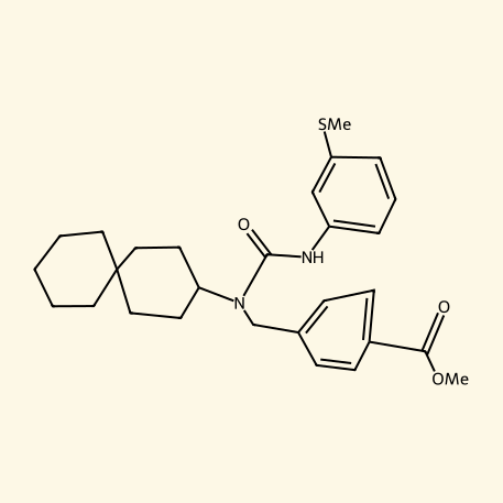 COC(=O)c1ccc(CN(C(=O)Nc2cccc(SC)c2)C2CCC3(CCCCC3)CC2)cc1